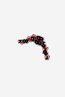 C=C(C)C(=C)Oc1ccc2cc(C(=O)Oc3ccc(C(=O)Oc4ccc5ccccc5c4-c4c(OC(=C)c5ccc(OC(=O)c6ccc7cc(OC(=O)C(=C)C)ccc7c6)cc5)ccc5ccccc45)cc3)ccc2c1